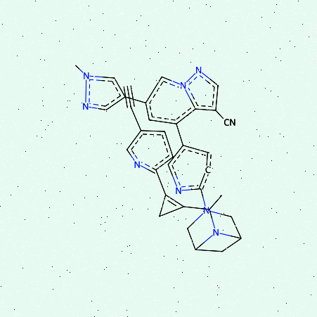 C#Cc1ccc(C2=C(C(C)N3C4CC3CN(c3ccc(-c5cc(-c6cnn(C)c6)cn6ncc(C#N)c56)cn3)C4)C2)nc1